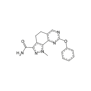 Cn1nc(C(N)=O)c2c1-c1nc(Oc3ccccc3)ncc1CC2